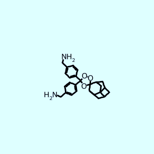 NCc1ccc(C2(c3ccc(CN)cc3)OOC3(O2)C2CC4CC5CC3CC45C2)cc1